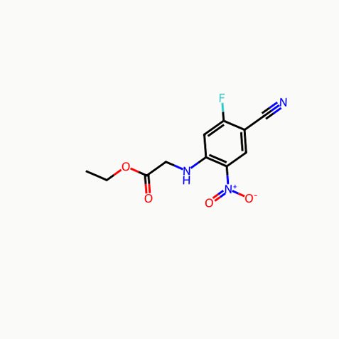 CCOC(=O)CNc1cc(F)c(C#N)cc1[N+](=O)[O-]